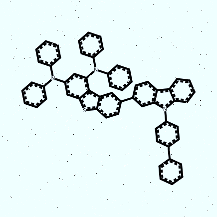 c1ccc(-c2ccc(-n3c4ccccc4c4ccc(-c5ccc6sc7cc(N(c8ccccc8)c8ccccc8)cc(N(c8ccccc8)c8ccccc8)c7c6c5)cc43)cc2)cc1